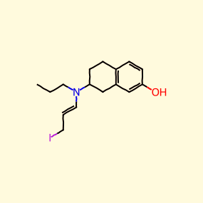 CCCN(C=CCI)C1CCc2ccc(O)cc2C1